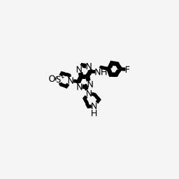 [O-][S+]1CCN(c2nc(N3CCNCC3)nc3c(NCc4ccc(F)cc4)ncnc23)CC1